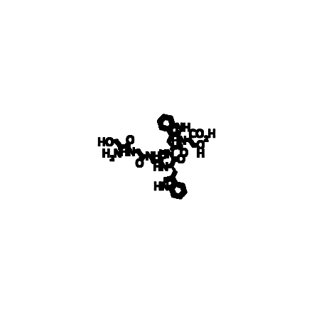 N[C@@H](CO)C(=O)NCC(=O)NCC(=O)N[C@@H](Cc1c[nH]c2ccccc12)C(=O)N[C@@H](Cc1c[nH]c2ccccc12)C(=O)N[C@@H](CO)C(=O)O